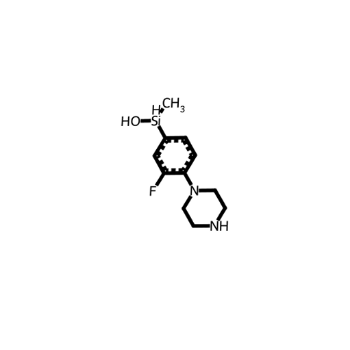 C[SiH](O)c1ccc(N2CCNCC2)c(F)c1